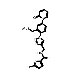 CSCc1cc(-n2ccccc2=O)ccc1-n1cc(CNC(=O)c2ccc(Cl)s2)nn1